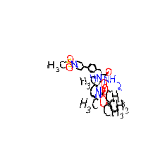 CCS(=O)(=O)N1CCC(c2ccc(C[C@H](NC(=O)[C@@H]3[C@H](C)CC[C@H](C)N3C(=O)OC(C)(C)C)C(N)=O)cc2)CC1